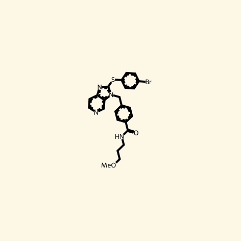 COCCCNC(=O)c1ccc(Cn2c(Sc3ccc(Br)cc3)nc3ccncc32)cc1